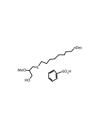 CCCCCCCCCCCCCCCCCCSCC(CO)OC.O=S(=O)(O)c1ccccc1